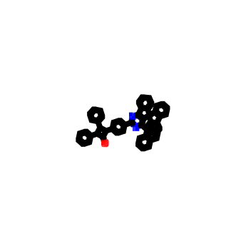 O=C1C(c2ccccc2)C(c2ccccc2)C1c1ccc(-c2nc3c(c(-c4cccc5ccccc45)n2)C2(c4ccccc4-c4ccccc42)c2ccccc2-3)cc1